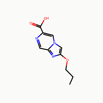 CCCOc1cn2cc(C(=O)O)ncc2n1